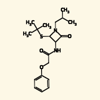 CC(C)CN1C(=O)C(NC(=O)COc2ccccc2)C1SC(C)(C)C